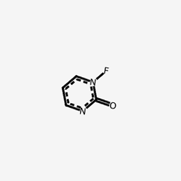 O=c1ncccn1F